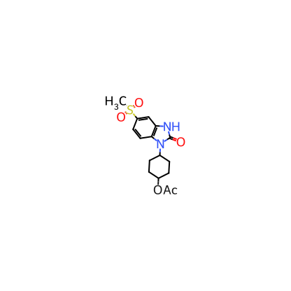 CC(=O)OC1CCC(n2c(=O)[nH]c3cc(S(C)(=O)=O)ccc32)CC1